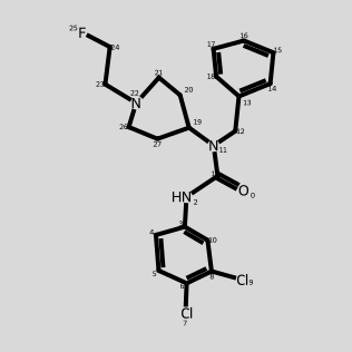 O=C(Nc1ccc(Cl)c(Cl)c1)N(Cc1ccccc1)C1CCN(CCF)CC1